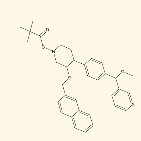 COC(c1ccc(C2CCN(OC(=O)C(C)(C)C)CC2OCc2ccc3ccccc3c2)cc1)c1cccnc1